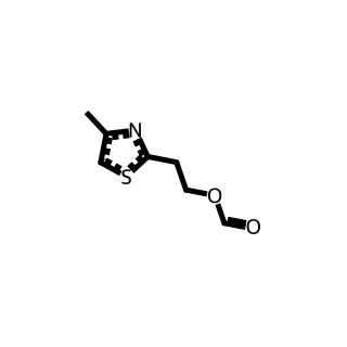 Cc1csc(CCOC=O)n1